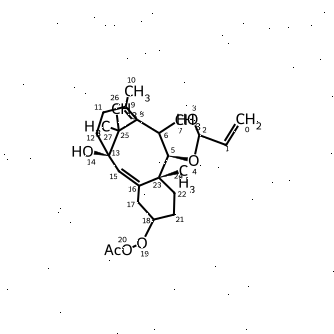 C=CC(O)O[C@@H]1C(C)C2=C(C)CC[C@@](O)(/C=C3/CC(OOC(C)=O)CC[C@]31C)C2(C)C